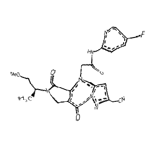 COC[C@H](C)N1Cc2c(n(CC(=O)Nc3ccc(F)cn3)c3cc(C#N)nn3c2=O)C1=O